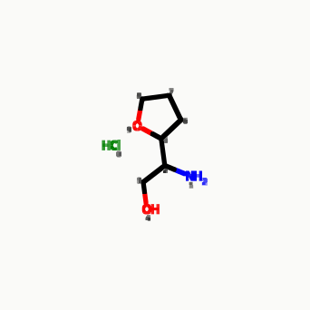 Cl.NC(CO)C1CCCO1